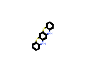 c1ccc2sc3cc4sc5ccccc5[nH]c4cc3[nH]c2c1